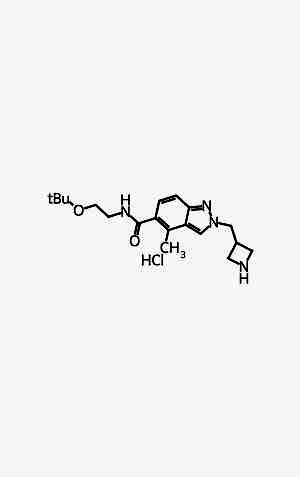 Cc1c(C(=O)NCCOC(C)(C)C)ccc2nn(CC3CNC3)cc12.Cl